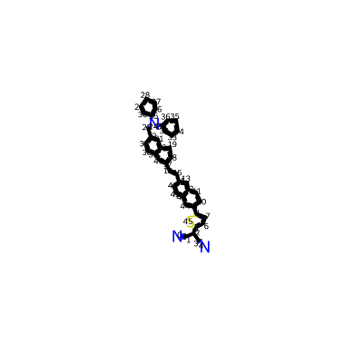 N#CC(C#N)c1ccc(-c2ccc3cc(/C=C/c4ccc5cc(CN(c6ccccc6)c6ccccc6)ccc5c4)ccc3c2)s1